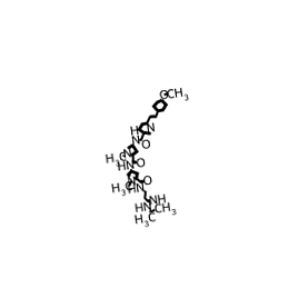 COc1ccc(/C=C/c2ccc(C(=O)Nc3cc(C(=O)Nc4cc(C(=O)NCCC(=N)NC(C)C)n(C)c4)n(C)c3)cn2)cc1